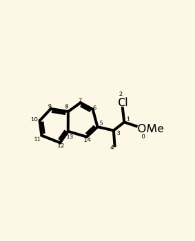 COC(Cl)C(C)c1ccc2ccccc2c1